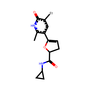 CCc1cc(C2=CCC(C(=O)NC3CC3)O2)c(C)[nH]c1=O